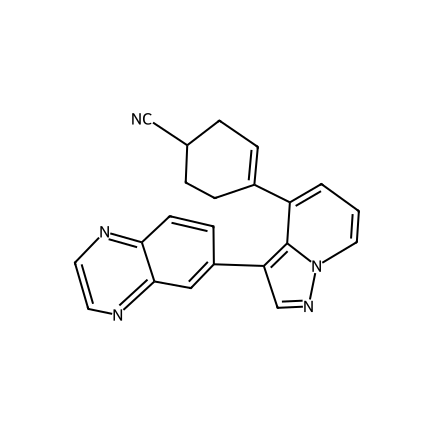 N#CC1CC=C(c2cccn3ncc(-c4ccc5nccnc5c4)c23)CC1